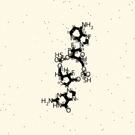 Nc1nc2c(ncn2[C@@H]2S[C@@H]3COP(=O)(S)O[C@@H]4[C@@H](COP(=O)(S)O[C@@H]2[C@H]3F)O[C@@H](n2cnc3c(N)ccnc32)C4(F)F)c(=O)[nH]1